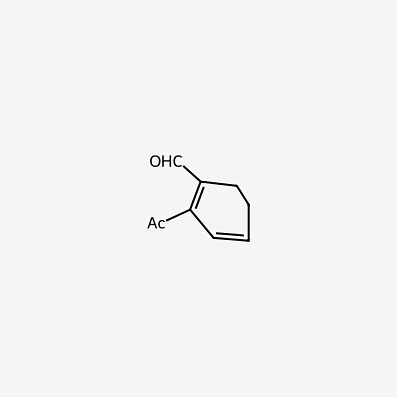 CC(=O)C1=C(C=O)CCC=C1